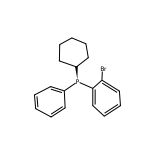 Brc1ccccc1[P@@](c1ccccc1)C1CCCCC1